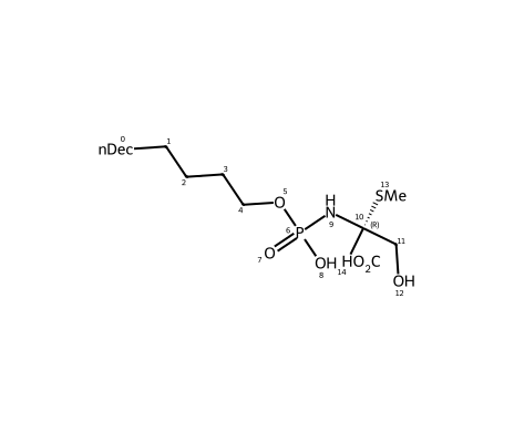 CCCCCCCCCCCCCCOP(=O)(O)N[C@](CO)(SC)C(=O)O